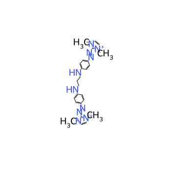 Cn1cc[n+](C)c1N=Nc1ccc(NCCCNc2ccc(/N=N/c3n(C)cc[n+]3C)cc2)cc1